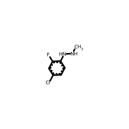 CNNc1ccc(Cl)cc1F